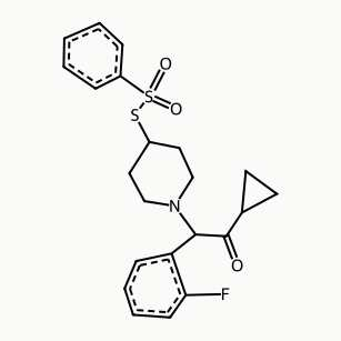 O=C(C1CC1)C(c1ccccc1F)N1CCC(SS(=O)(=O)c2ccccc2)CC1